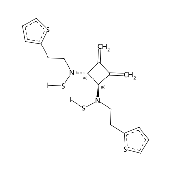 C=C1C(=C)[C@@H](N(CCc2cccs2)SI)[C@@H]1N(CCc1cccs1)SI